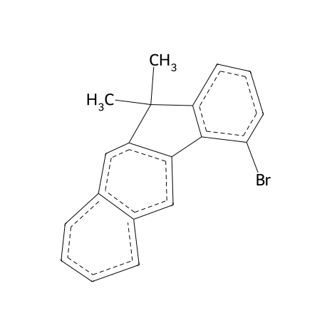 CC1(C)c2cc3ccccc3cc2-c2c(Br)cccc21